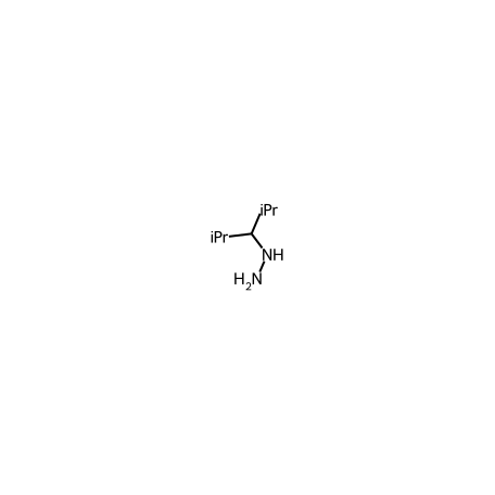 CC(C)C(NN)C(C)C